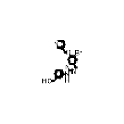 OCc1cccc(Nc2ncc3cc(Br)c(OCc4cccnc4)cc3n2)c1